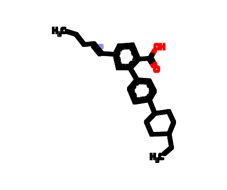 CCC/C=C/c1ccc(C(=O)O)c(-c2ccc(C3CCC(CC)CC3)cc2)c1